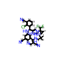 CC(C)(C)CNc1c(C#N)cnc2c(C#N)cc(N[C@H](C3=CN(C4(C(F)F)CC4)NN3)c3cccc(C#N)c3Cl)cc12